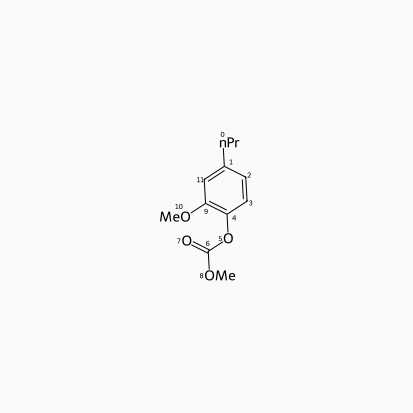 CCCc1ccc(OC(=O)OC)c(OC)c1